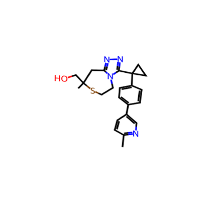 Cc1ccc(-c2ccc(C3(c4nnc5n4CCSC(C)(CO)C5)CC3)cc2)cn1